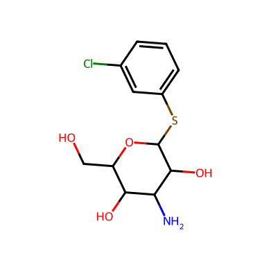 NC1C(O)C(CO)OC(Sc2cccc(Cl)c2)C1O